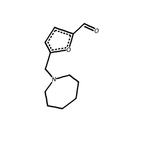 O=Cc1ccc(CN2CCCCCC2)o1